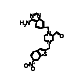 Nc1ncnc2cc(CN3CCN(Cc4cc5ccc([N+](=O)[O-])cc5s4)CC3C=O)ccc12